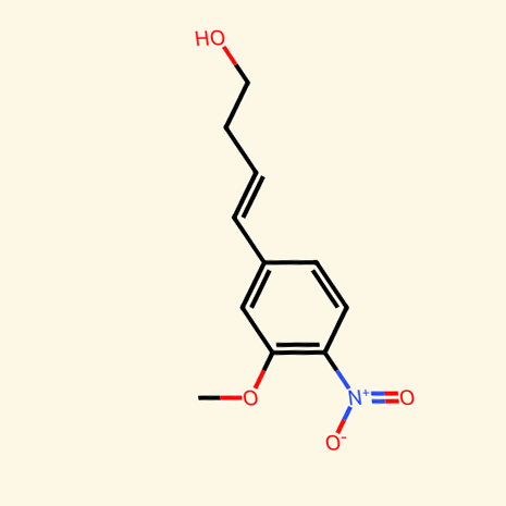 COc1cc(C=CCCO)ccc1[N+](=O)[O-]